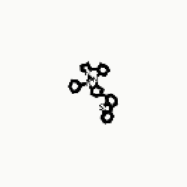 c1ccc(N2B3N(c4ccccc4-c4cccn43)c3cc(-c4cccc5c4sc4ccccc45)ccc32)cc1